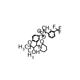 CN(c1cccc(C(F)(F)F)c1)S(=O)(=O)c1ccc2c(c1)C(N1CCCCC1=O)C(O)C(C)(C)O2